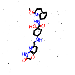 COc1ccc2cccc(NC(=O)[C@]3(O)CC[C@@H](NCc4ccc5c(n4)NC(=O)CO5)CC3)c2n1